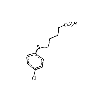 O=C(O)CCCCSc1ccc(Cl)cc1